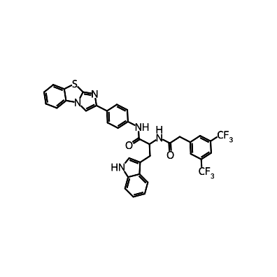 O=C(Cc1cc(C(F)(F)F)cc(C(F)(F)F)c1)NC(Cc1c[nH]c2ccccc12)C(=O)Nc1ccc(-c2cn3c(n2)sc2ccccc23)cc1